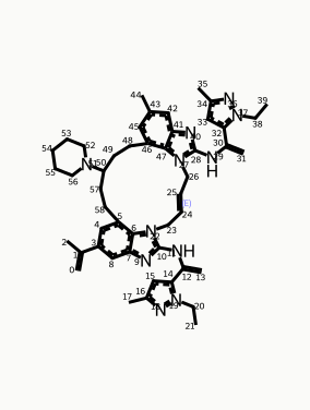 C=C(C)c1cc2c3c(c1)nc(NC(=C)c1cc(C)nn1CC)n3C/C=C/Cn1c(NC(=C)c3cc(C)nn3CC)nc3cc(C)cc(c31)CCC(N1CCCCC1)CC2